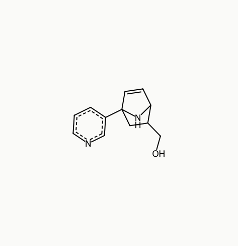 OCC1CC2(c3cccnc3)C=CC1N2